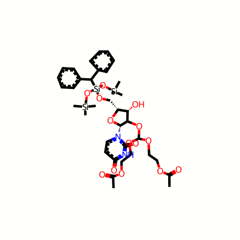 CC(=O)OCCOC(OCCOC(C)=O)OC1[C@@H](O)[C@@H](CO[Si](O[Si](C)(C)C)(O[Si](C)(C)C)C(c2ccccc2)c2ccccc2)O[C@H]1n1ccc(=O)[nH]c1=O